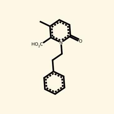 Cc1ccc(=O)n(CCc2ccccc2)c1C(=O)O